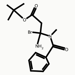 CN(C(=O)c1ccccc1)C(N)(Br)CC(=O)OC(C)(C)C